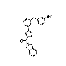 CC(C)c1cccc(Cc2cccc(-c3ccc(C(=O)N4Cc5ccccc5C4)s3)c2)c1